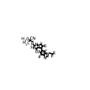 COc1nc(NCC(C)(C)C#N)nn2cc(F)c(-c3cc(F)c4ncn(CC(F)F)c4c3)c12